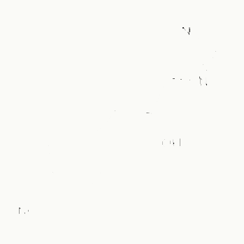 Cn1cncc1C(O)Cc1ccc(C#N)cc1